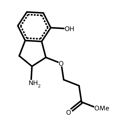 COC(=O)CCOC1c2c(O)cccc2CC1N